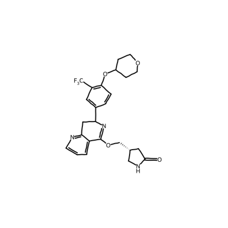 O=C1C[C@@H](COC2=NC(c3ccc(OC4CCOCC4)c(C(F)(F)F)c3)Cc3ncccc32)CN1